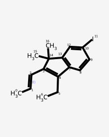 C/C=C/C1=C(CC)c2ccc(I)cc2C1(C)C